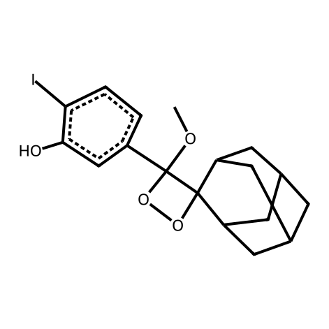 COC1(c2ccc(I)c(O)c2)OOC12C1CC3CC(C1)CC2C3